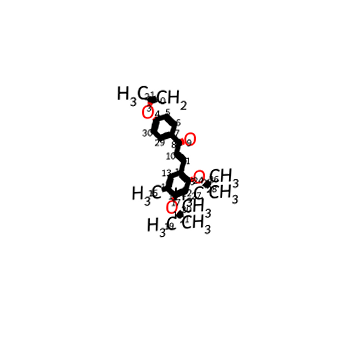 C=C(C)Oc1ccc(C(=O)C=Cc2cc(C)c(OC(C)(C)C)cc2OC(C)(C)C)cc1